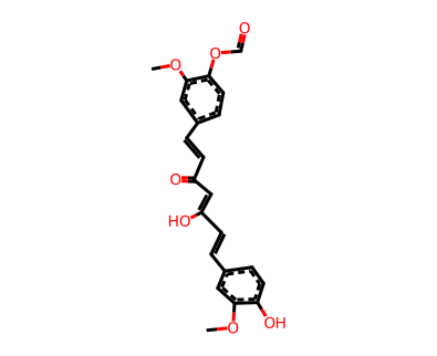 COc1cc(/C=C/C(O)=C/C(=O)/C=C/c2ccc(OC=O)c(OC)c2)ccc1O